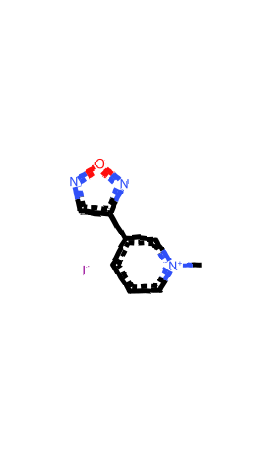 C[n+]1cccc(-c2cnon2)c1.[I-]